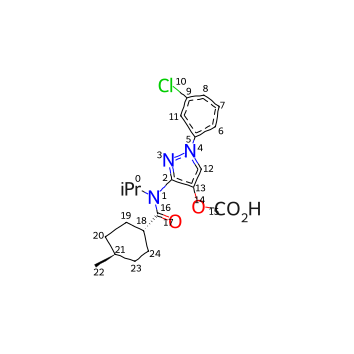 CC(C)N(c1nn(-c2cccc(Cl)c2)cc1OC(=O)O)C(=O)[C@H]1CC[C@H](C)CC1